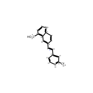 O=C(O)c1ccnc2ccc(/C=C/c3ccnc(C(F)(F)F)c3)cc12